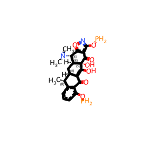 C[C@H]1c2cccc(OP)c2C(=O)C2=C(O)[C@]3(O)C(=O)c4c(OP)noc4[C@@H](N(C)C)[C@@H]3C[C@@H]21